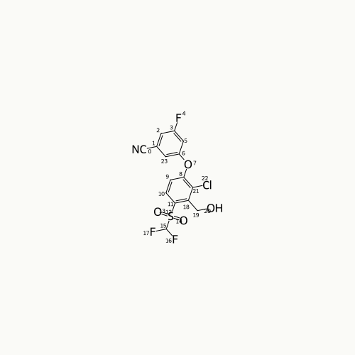 N#Cc1cc(F)cc(Oc2ccc(S(=O)(=O)C(F)F)c(CO)c2Cl)c1